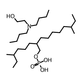 CCC(C)CCCCCC(CCCC(C)CC)COP(=O)(O)O.CCCCN(CCO)CCCC